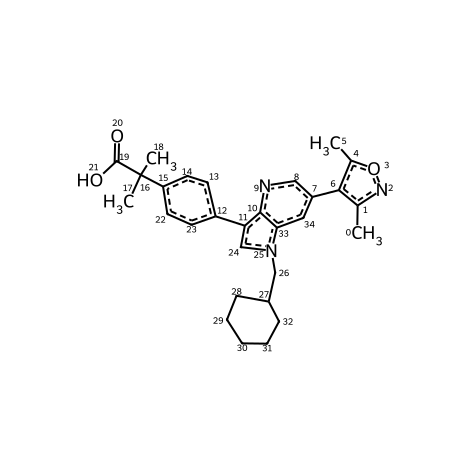 Cc1noc(C)c1-c1cnc2c(-c3ccc(C(C)(C)C(=O)O)cc3)cn(CC3CCCCC3)c2c1